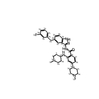 CN1CCC(Nc2cc(N3CCN(C)CC3)ccc2C(=O)Nc2n[nH]c3ccc(Cc4cccc(F)c4)cc23)CC1